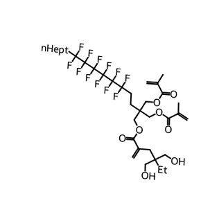 C=C(C)C(=O)OCC(CCC(F)(F)C(F)(F)C(F)(F)C(F)(F)C(F)(F)C(F)(F)CCCCCCC)(COC(=O)C(=C)C)COC(=O)C(=C)CC(CC)(CO)CO